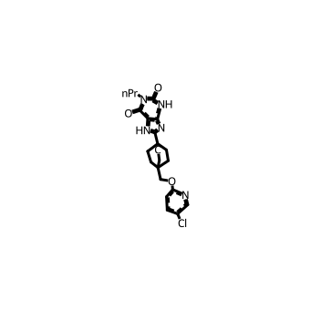 CCCn1c(=O)[nH]c2nc(C34CCC(COc5ccc(Cl)cn5)(CC3)CC4)[nH]c2c1=O